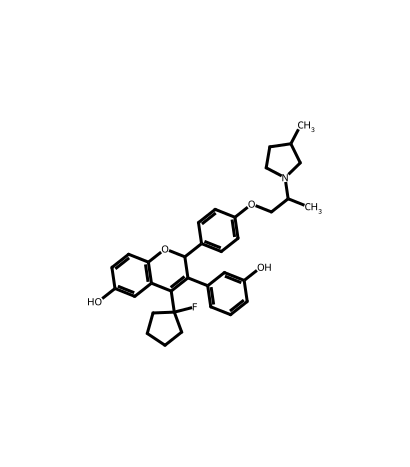 CC1CCN(C(C)COc2ccc(C3Oc4ccc(O)cc4C(C4(F)CCCC4)=C3c3cccc(O)c3)cc2)C1